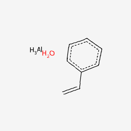 C=Cc1ccccc1.O.[AlH3]